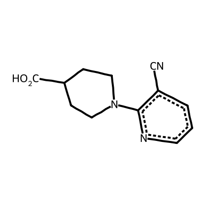 N#Cc1cccnc1N1CCC(C(=O)O)CC1